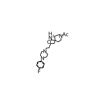 CC(=O)N1CCC(CCCCN2CCN(c3ccc(F)cc3)CC2)(C(N)=O)CC1